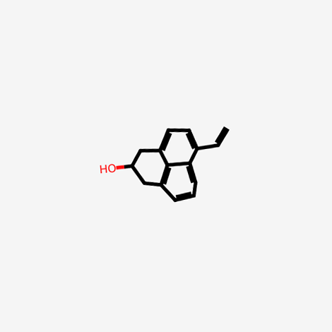 C=Cc1ccc2c3c(cccc13)CC(O)C2